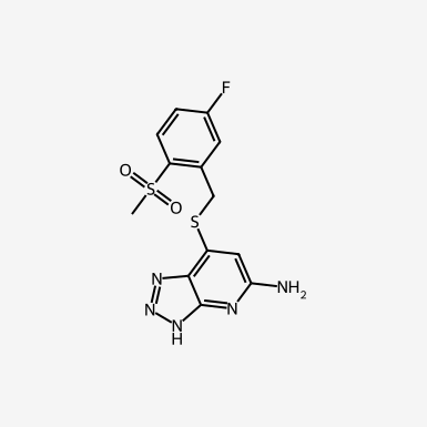 CS(=O)(=O)c1ccc(F)cc1CSc1cc(N)nc2[nH]nnc12